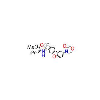 COC(=O)[C@H](CC(C)C)N[C@@H](c1ccc2c(c1)oc1ccc(N3CCOCC3=O)cc12)C(F)(F)F